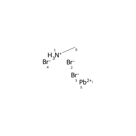 C[NH3+].[Br-].[Br-].[Br-].[Pb+2]